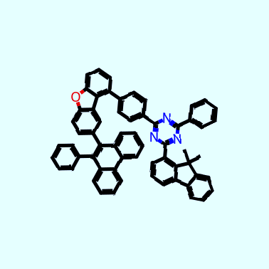 CC1(C)c2ccccc2-c2cccc(-c3nc(-c4ccccc4)nc(-c4ccc(-c5cccc6oc7ccc(-c8c(-c9ccccc9)c9ccccc9c9ccccc89)cc7c56)cc4)n3)c21